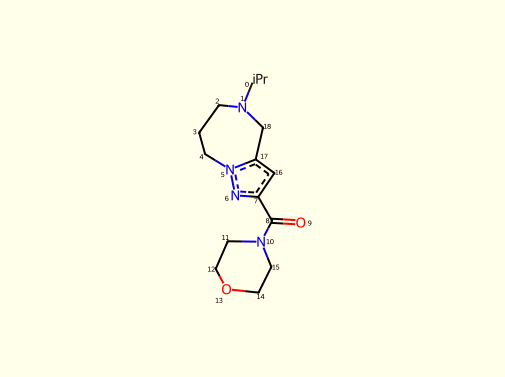 CC(C)N1CCCn2nc(C(=O)N3CCOCC3)cc2C1